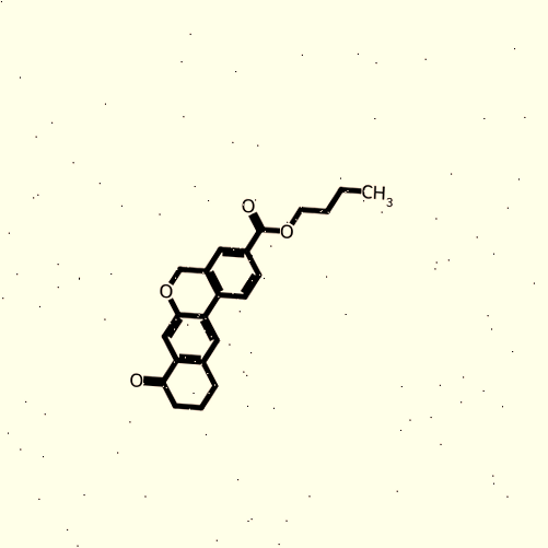 CCCCOC(=O)c1ccc2c(c1)COc1cc3c(cc1-2)CCCC3=O